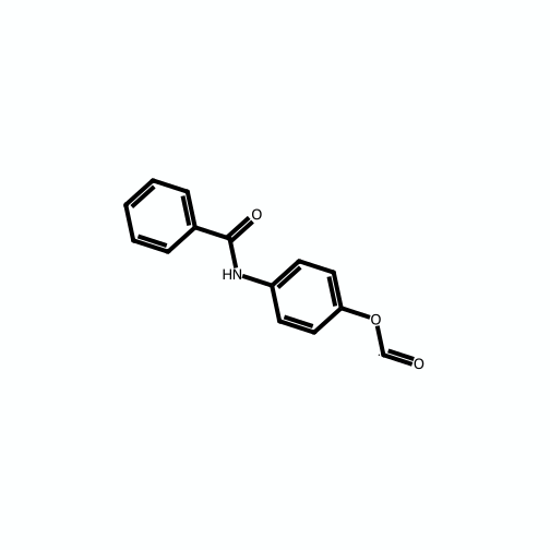 O=[C]Oc1ccc(NC(=O)c2ccccc2)cc1